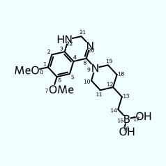 COc1cc2c(cc1OC)C(N1CCC(CCB(O)O)CC1)=NCN2